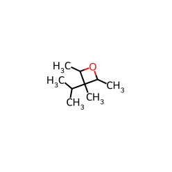 CC(C)C1(C)C(C)OC1C